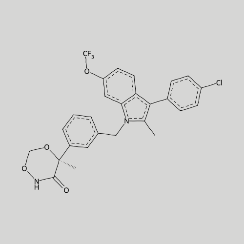 Cc1c(-c2ccc(Cl)cc2)c2ccc(OC(F)(F)F)cc2n1Cc1cccc([C@]2(C)OCONC2=O)c1